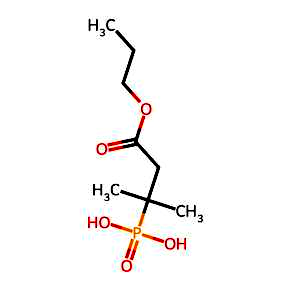 CCCOC(=O)CC(C)(C)P(=O)(O)O